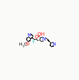 COc1ccc2nccc(C(F)CC[C@@H]3CCN(CC#Cc4cccnc4)C[C@@H]3C(=O)O)c2c1